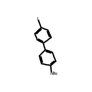 CCCCc1ccc(-c2ccc(I)cc2)cc1